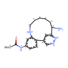 COC(=O)Nc1ccc2c(c1)NCCCCCC(N)c1cc-2cnn1